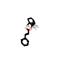 CC1(C)C2CCC1(C)C(OC(=O)/C=C/c1ccccc1)C2